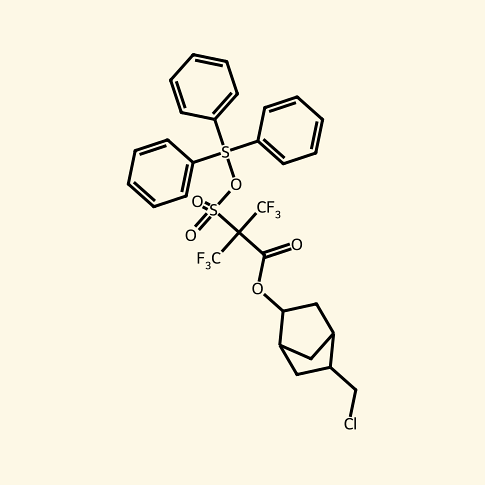 O=C(OC1CC2CC1CC2CCl)C(C(F)(F)F)(C(F)(F)F)S(=O)(=O)OS(c1ccccc1)(c1ccccc1)c1ccccc1